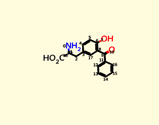 N[C@@H](Cc1ccc(O)c(C(=O)c2ccccc2)c1)C(=O)O